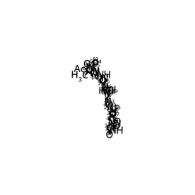 CC(=O)c1c(C)c2cnc(Nc3ccc(N4CCN(CCN5CCN(c6cc7c(cc6F)C(=O)N(C6CCC(=O)NC6=O)C7)CC5)CC4)cn3)nc2n(C2CCCC2)c1=O.Cl.Cl